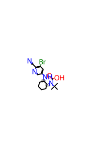 CC(C)(C)N(C(=O)O)[C@H]1CCCC[C@H]1Nc1cnc(C#N)c(Br)c1